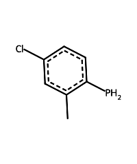 Cc1cc(Cl)ccc1P